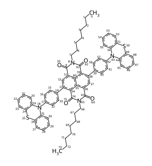 CCCCCCCCN1C(=O)c2cc(-c3ccc(N4c5ccccc5Sc5ccccc54)cc3)c3c4c(cc(-c5ccc(N6c7ccccc7Sc7ccccc76)cc5)c(c24)C1=O)C(=O)N(CCCCCCCC)C3=O